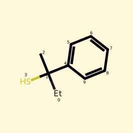 CCC(C)(S)c1ccccc1